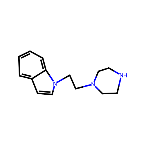 c1ccc2c(c1)ccn2CCN1CCNCC1